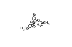 COc1ccc(S(=O)(=O)n2cc(OCCN(C)C)c3cc(Br)ccc32)c(Br)c1